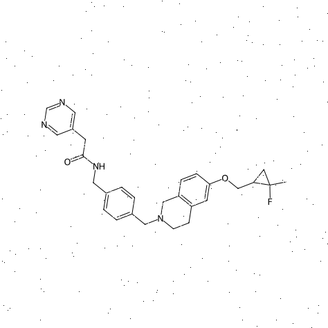 CC1(F)CC1COc1ccc2c(c1)CCN(Cc1ccc(CNC(=O)Cc3cncnc3)cc1)C2